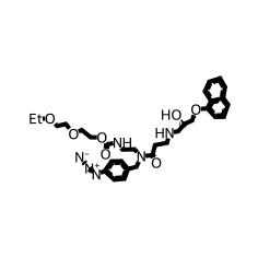 CCOCCOCCOC(=O)NCCN(Cc1ccc(N=[N+]=[N-])cc1)C(=O)CCNC[C@H](O)COc1cccc2ccccc12